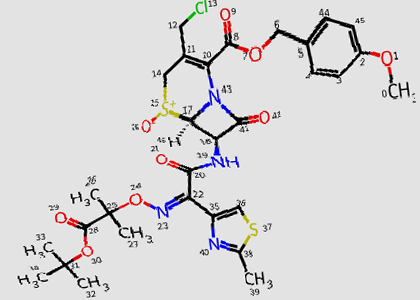 COc1ccc(COC(=O)C2=C(CCl)C[S+]([O-])[C@@H]3[C@H](NC(=O)/C(=N\OC(C)(C)C(=O)OC(C)(C)C)c4csc(C)n4)C(=O)N23)cc1